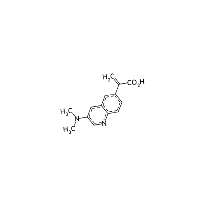 C=C(C(=O)O)c1ccc2ncc(N(C)C)cc2c1